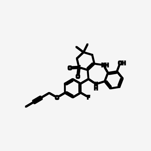 CC#CCOc1ccc(C2Nc3cccc(O)c3NC3=C2S(=O)(=O)CC(C)(C)C3)c(F)c1